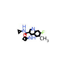 Cc1cc2c(NC3C4CC3C4)c(C(=O)NC3CC3)cnc2cc1F